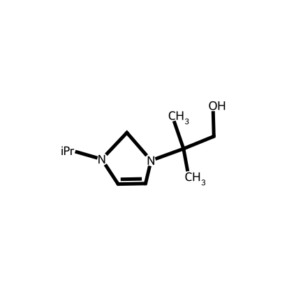 CC(C)N1C=CN(C(C)(C)CO)C1